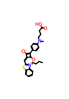 CCCC[n+]1c(C=C2C(=O)C(c3ccc(N(C)CCCC(=O)O)cc3)=C2[O-])sc2ccccc21